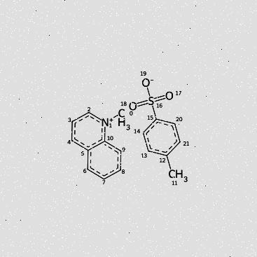 C[n+]1cccc2ccccc21.Cc1ccc(S(=O)(=O)[O-])cc1